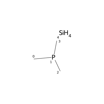 CP(C)C.[SiH4]